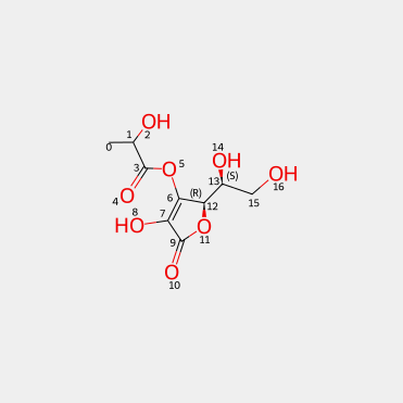 CC(O)C(=O)OC1=C(O)C(=O)O[C@@H]1[C@@H](O)CO